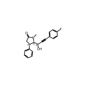 CN1C(=O)C[C@H](c2ccccc2)[C@@H]1[C@H](O)C#Cc1ccc(F)cc1